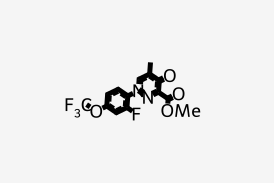 COC(=O)c1nn(-c2ccc(OC(F)(F)F)cc2F)cc(C)c1=O